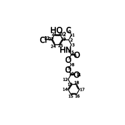 O=C(O)C[C@@H](CNC(=O)OCOC(=O)Cc1ccccc1)c1ccc(Cl)cc1